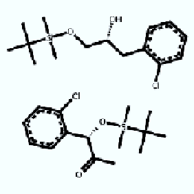 CC(=O)[C@@H](O[Si](C)(C)C(C)(C)C)c1ccccc1Cl.CC(C)(C)[Si](C)(C)OC[C@H](O)Cc1ccccc1Cl